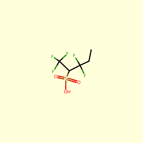 CCC(F)(F)C(C(F)(F)F)S(=O)(=O)O